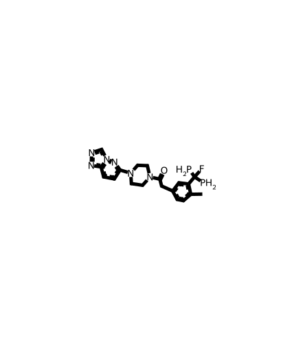 Cc1ccc(CC(=O)N2CCN(c3ccc4nncn4n3)CC2)cc1C(F)(P)P